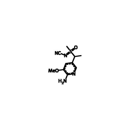 COc1cc(C(C)S(C)(=O)=NC#N)cnc1N